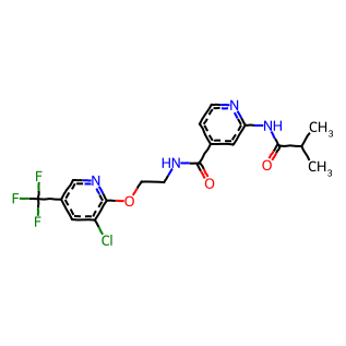 CC(C)C(=O)Nc1cc(C(=O)NCCOc2ncc(C(F)(F)F)cc2Cl)ccn1